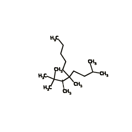 CCCCCC(C)(CCC(C)C)[C](C)C(C)(C)C